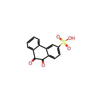 O=C1C(=O)c2ccc(S(=O)(=O)O)cc2-c2ccccc21